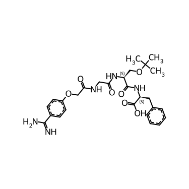 CC(C)(C)OC[C@H](NC(=O)CNC(=O)COc1ccc(C(=N)N)cc1)C(=O)N[C@@H](Cc1ccccc1)C(=O)O